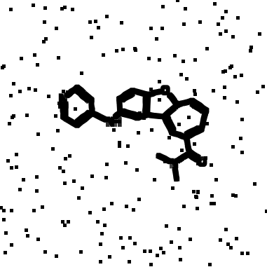 CN(C)C(=O)C1=CC=CC2Oc3ccc(Nc4ccncc4)cc3C2=C1